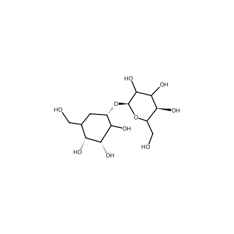 OCC1O[C@@H](O[C@H]2CC(CO)[C@@H](O)[C@@H](O)C2O)C(O)C(O)[C@H]1O